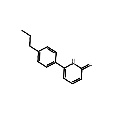 CCCc1ccc(-c2cccc(=O)[nH]2)cc1